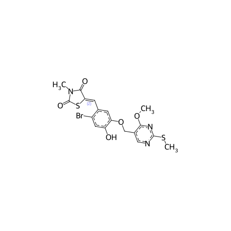 COc1nc(SC)ncc1COc1cc(/C=C2\SC(=O)N(C)C2=O)c(Br)cc1O